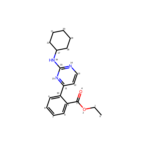 CCOC(=O)c1ccccc1-c1ccnc(NC2CCCCC2)n1